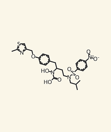 Cc1nc(COc2ccc(CC(CCN(CC(C)C)S(=O)(=O)c3ccc([N+](=O)[O-])cc3)N(O)C(=O)O)cc2)cs1